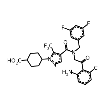 Nc1cccc(Cl)c1C(=O)CN(Cc1cc(F)cc(F)c1)C(=O)c1cnn(C2CCC(C(=O)O)CC2)c1C(F)(F)F